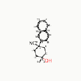 C[C@]1(O)CC[C@@](C#N)(c2ccc3ccccc3c2)CC1